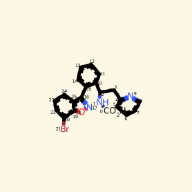 O=C(O)NC(Cc1ccccn1)c1ccccc1-c1noc2c(Br)cccc12